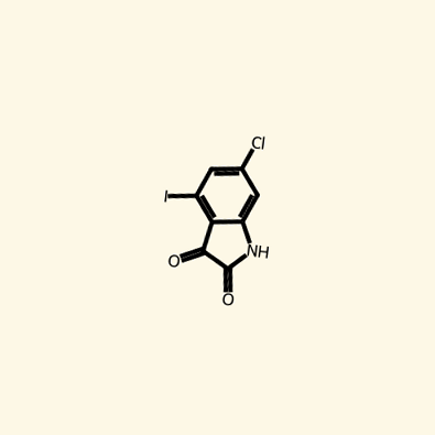 O=C1Nc2cc(Cl)cc(I)c2C1=O